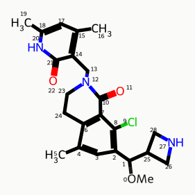 COC(c1cc(C)c2c(c1Cl)C(=O)N(Cc1c(C)cc(C)[nH]c1=O)CC2)C1CNC1